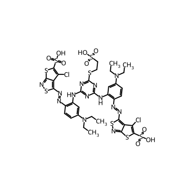 CCN(CC)c1ccc(/N=N/c2snc3sc(S(=O)(=O)O)c(Cl)c23)c(Nc2nc(Nc3cc(N(CC)CC)ccc3/N=N/c3snc4sc(S(=O)(=O)O)c(Cl)c34)nc(SCCS(=O)(=O)O)n2)c1